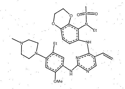 C=Cc1cnc(Nc2cc(CC)c(N3CCN(C)CC3)cc2OC)nc1Nc1ccc2c(c1N(CC)S(C)(=O)=O)OCCO2